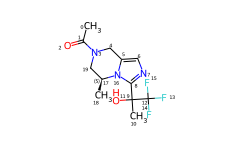 CC(=O)N1Cc2cnc(C(C)(O)C(F)(F)F)n2[C@@H](C)C1